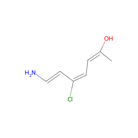 C\C(O)=C/C=C(Cl)\C=C\N